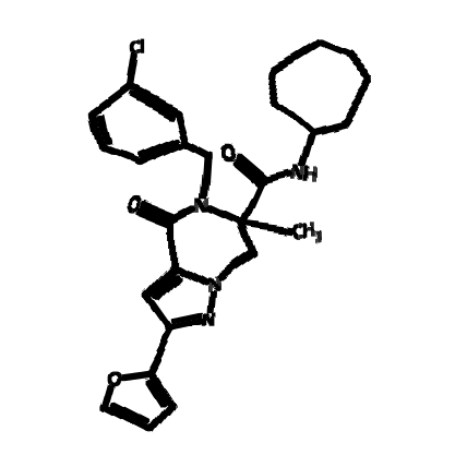 CC1(C(=O)NC2CCCCCC2)Cn2nc(-c3ccco3)cc2C(=O)N1Cc1cccc(Cl)c1